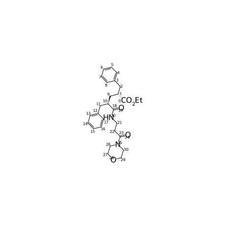 CCOC(=O)[C@@H](Cc1ccccc1)C[C@H](Cc1ccccc1)C(=O)NCCC(=O)N1CCOCC1